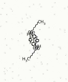 CCCCCCCCS(=O)(=O)Nc1ccc(F)[c]([Ti]([c]2c(F)ccc(NS(=O)(=O)CCCCCCCC)c2F)([CH]2C=CC=C2)[CH]2C=CC=C2)c1F